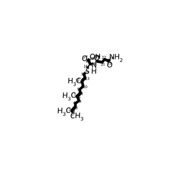 CC(C)=CCC/C(C)=C/CC/C(C)=C/CSC[C@H](NC(=O)CCC(N)=O)C(=O)O